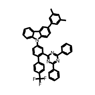 Cc1cc(C)cc(-c2ccc3c(c2)c2ccccc2n3-c2ccc(-c3ccc(C(F)(F)F)cc3)c(-c3nc(-c4ccccc4)nc(-c4ccccc4)n3)c2)c1